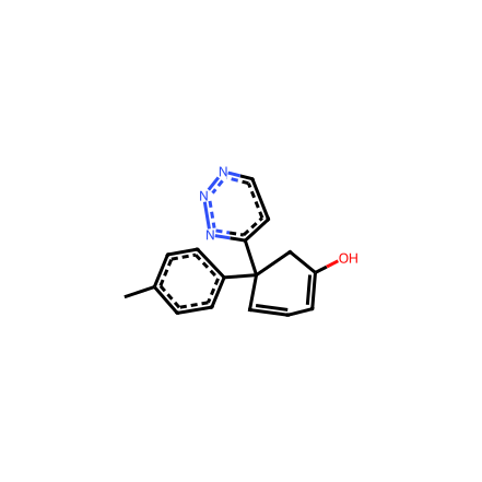 Cc1ccc(C2(c3ccnnn3)C=CC=C(O)C2)cc1